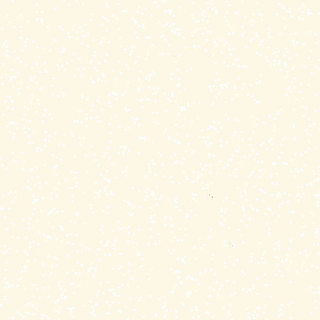 O=C1C(C#Cc2ccc(C(F)(F)F)cc2)=C(c2ccc(C(F)(F)F)cc2)C(=O)N1Cc1ccccn1